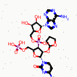 Nc1ccn([C@@H]2OC(COP(=O)(O)O)[C@@H](P(=O)(O)OCC3O[C@@H](n4cnc5c(N)ncnc54)[C@H](O)[C@@H]3O)[C@H]2OC2CCCO2)c(=O)n1